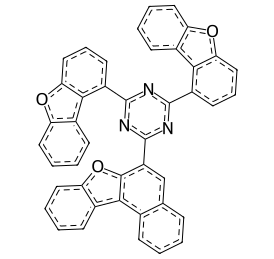 c1ccc2c(c1)cc(-c1nc(-c3cccc4oc5ccccc5c34)nc(-c3cccc4oc5ccccc5c34)n1)c1oc3ccccc3c12